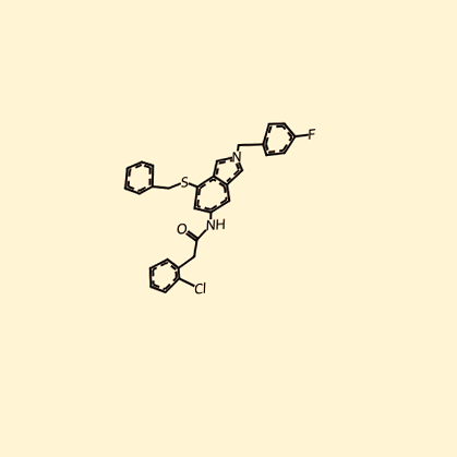 O=C(Cc1ccccc1Cl)Nc1cc(SCc2ccccc2)c2cn(Cc3ccc(F)cc3)cc2c1